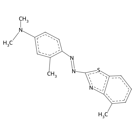 Cc1cc(N(C)C)ccc1/N=N/c1nc2c(C)cccc2s1